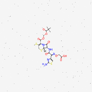 CSC1=C(C(=O)OCOC(=O)C(C)(C)C)N2C(=O)C(NC(=O)C(=NOCC(=O)O)c3csc(N)n3)[C@@H]2SC1